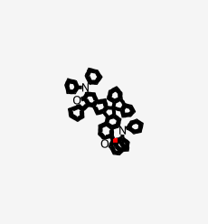 c1ccc(N(c2ccccc2)c2cc3cc4c(cc3c3c2oc2ccccc23)-c2c(cc(N(c3ccccc3)c3ccccc3)c3c2ccc2oc5ccccc5c23)C42c3ccccc3-c3ccccc32)cc1